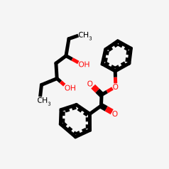 CCC(O)CC(O)CC.O=C(Oc1ccccc1)C(=O)c1ccccc1